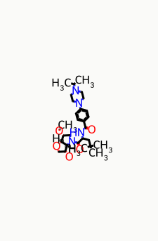 COC1CN(C(=O)C(CC(C)(C)C)NC(=O)c2ccc(N3CCN(C(C)C)CC3)cc2)[C@@H]2C(=O)CO[C@H]12